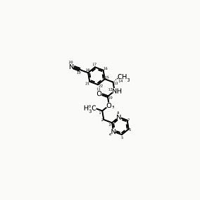 CC(Cc1ncccn1)OC(=O)N[C@@H](C)c1ccc(C#N)cc1